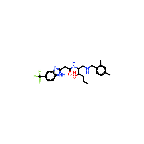 CCCC(O)C(CNCc1ccc(C)cc1C)NC(=O)Cc1nc2cc(C(F)(F)F)ccc2[nH]1